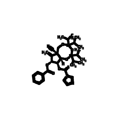 C=C1[C@H](OC(=O)c2ccccc2)[C@H](OC(=S)n2ccnc2)[C@@H]2O[Si](C(C)C)(C(C)C)O[Si](C(C)C)(C(C)C)OC[C@@]12C#N